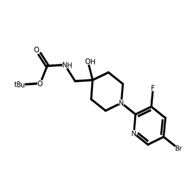 CC(C)(C)OC(=O)NCC1(O)CCN(c2ncc(Br)cc2F)CC1